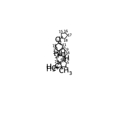 C#CC1(C)CC[C@H]2[C@@H]3CCc4cc(OC5CCCC5)ccc4[C@H]3CC[C@@]21C